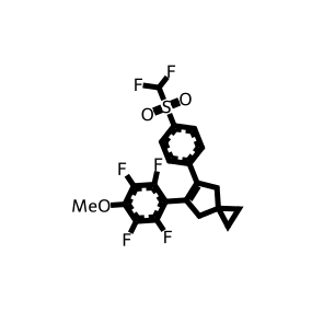 COc1c(F)c(F)c(C2=C(c3ccc(S(=O)(=O)C(F)F)cc3)CC3(CC3)C2)c(F)c1F